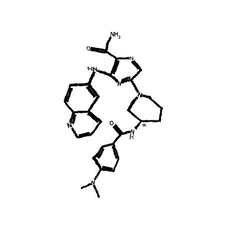 CN(C)c1ccc(C(=O)N[C@@H]2CCCN(c3cnc(C(N)=O)c(Nc4ccc5ncccc5c4)n3)C2)cc1